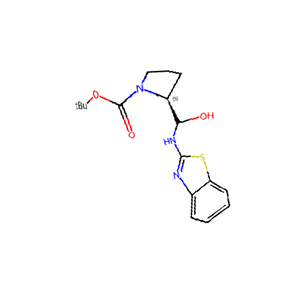 CC(C)(C)OC(=O)N1CC[C@H]1C(O)Nc1nc2ccccc2s1